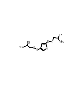 CCCCC(CC)CSSc1csc(SSCC(CC)CCCC)c1